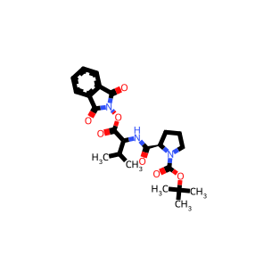 CC(C)C(NC(=O)[C@H]1CCCN1C(=O)OC(C)(C)C)C(=O)ON1C(=O)c2ccccc2C1=O